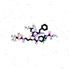 CNC(=O)N1CC2(CCN(C(=O)[C@@H](CCCCNC(=O)OC(C)(C)C)NC(=O)[C@@H](CC(C)C)NC(=O)[C@H](N)Cc3ccccc3)CC2(F)F)C1